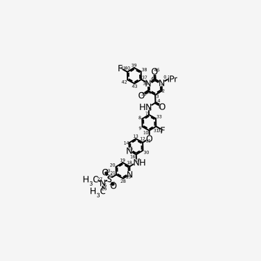 CC(C)n1cc(C(=O)Nc2ccc(Oc3ccnc(Nc4ccc(S(=O)(=O)N(C)C)cn4)c3)c(F)c2)c(=O)n(-c2ccc(F)cc2)c1=O